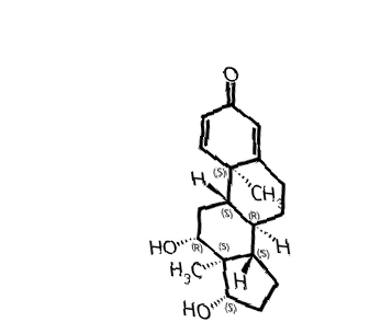 C[C@]12[C@H](O)C[C@H]3[C@@H](CCC4=CC(=O)C=C[C@@]43C)[C@@H]1CC[C@@H]2O